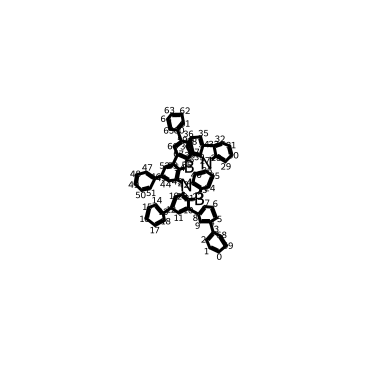 c1ccc(-c2ccc3c(c2)-c2cc(-c4ccccc4)cc4c2B3c2ccc(-n3c5ccccc5c5ccccc53)c3c2N4c2cc(-c4ccccc4)cc4c2B3c2ccc(-c3ccccc3)cc2-4)cc1